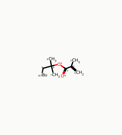 C=C(C)C(=O)OC(C)(C)CC(C)CC